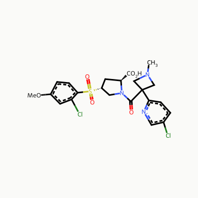 COc1ccc(S(=O)(=O)[C@@H]2C[C@@H](C(=O)O)N(C(=O)C3(c4ccc(Cl)cn4)CN(C)C3)C2)c(Cl)c1